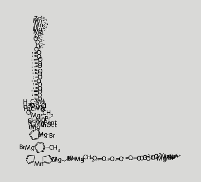 C1=CC[C]([Mn][C]2=CC=CC2)=C1.C=[CH][Mg][Br].C=[CH][Mg][Cl].CC(C)(C)[CH2][Mg][Cl].CCCCCCC[CH2][Mg][Cl].CCCC[CH2][Mg][Br].CC[CH2][Mg][Cl].Cc1cc[c]([Mg][Br])cc1.[Br][Mg][c]1ccccc1.[CH3][Mg][Br].[CH3][Mg][Cl].[CH3][Mg][I].[C]=O.[C]=O.[C]=O.[C]=O.[C]=O.[C]=O.[C]=O.[C]=O.[C]=O.[C]=O.[C]=O.[C]=O.[C]=O.[C]=O.[C]=O.[C]=O.[C]=O.[C]=O.[C]=O.[C]=O.[Mg+2].[Mg+2].[Mg+2].[Mn+2].[Mn+2].[Mn+2].[Mn+2].[O-2].[O-2].[O-2].[O-2].[O-2].[O-2].[O-2].[O-2].[O-2].[O-2].[W+6].[Zr+4].[Zr+4]